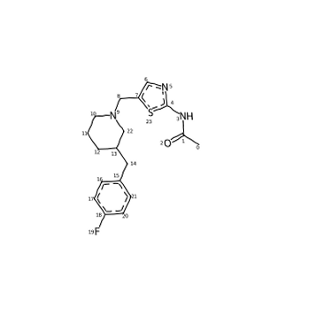 CC(=O)Nc1ncc(CN2CCCC(Cc3ccc(F)cc3)C2)s1